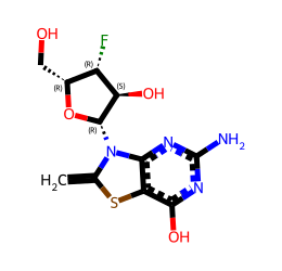 C=C1Sc2c(O)nc(N)nc2N1[C@@H]1O[C@H](CO)[C@H](F)[C@H]1O